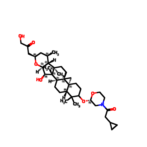 C[C@@H]1C[C@H](CC(=O)CO)O[C@H]2[C@H]1[C@@]1(C)CC[C@@]34C[C@@]35CCC(O[C@H]3CN(C(=O)CC6CC6)CCO3)C(C)(C)[C@@H]5CC[C@H]4[C@]1(C)[C@H]2O